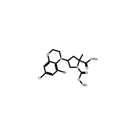 COC(=O)C1(C)CC(N2CCOc3cc(Cl)cc(Br)c32)CN1C(=O)OC(C)(C)C